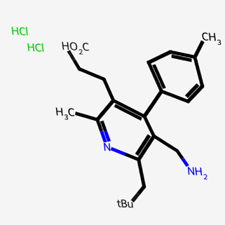 Cc1ccc(-c2c(CCC(=O)O)c(C)nc(CC(C)(C)C)c2CN)cc1.Cl.Cl